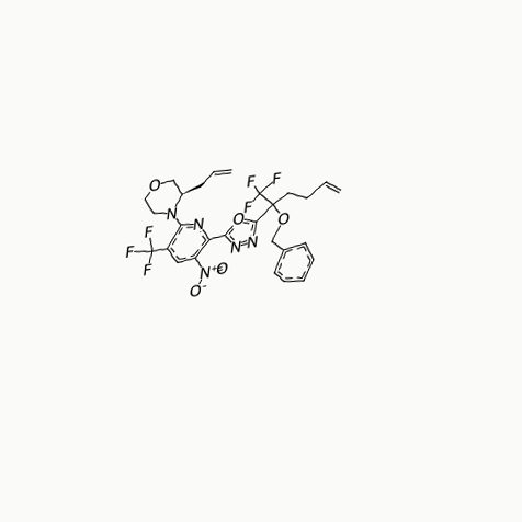 C=CCCC(OCc1ccccc1)(c1nnc(-c2nc(N3CCOC[C@H]3CC=C)c(C(F)(F)F)cc2[N+](=O)[O-])o1)C(F)(F)F